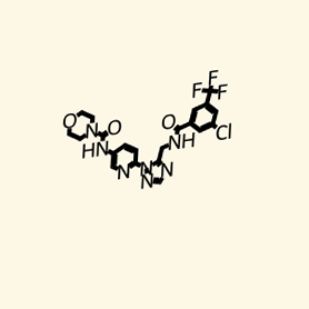 O=C(NCc1ncnn1-c1ccc(NC(=O)N2CCOCC2)cn1)c1cc(Cl)cc(C(F)(F)F)c1